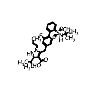 CCCN1NC(C(C)C)C(C(=O)O)=C1Cc1ccc(-c2ccccc2S(=O)(=O)NC(C)(C)C)c(F)c1